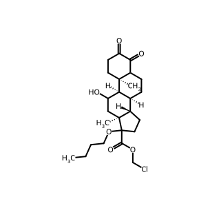 CCCCOC1(C(=O)OCCl)CC[C@H]2[C@@H]3CCC4C(=O)C(=O)CC[C@]4(C)[C@@H]3C(O)C[C@@]21C